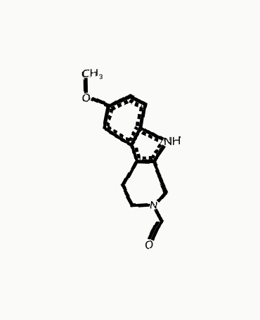 COc1ccc2[nH]c3c(c2c1)CCN(C=O)C3